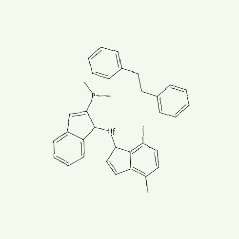 Cc1ccc(C)c2c1C=C[CH]2[Hf][CH]1C(P(C)C)=Cc2ccccc21.c1ccc(CCc2ccccc2)cc1